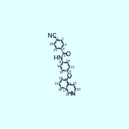 N#Cc1ccc(C(=O)Nc2ccc(Oc3cccc4cnccc34)cc2)cc1